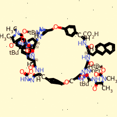 CCCN(C(=O)[C@@H](NC(=O)[C@H](C)N(C)C(=O)OC(C)(C)C)C(C)(C)C)[C@@H]1C(=O)N[C@@H](Cc2ccc3ccccc3c2)C(=O)N[C@H](C(=O)O)Cc2ccc(cc2)OCc2cn(nn2)[C@@H]2CCN(C(=O)[C@@H](NC(=O)[C@H](C)N(C)C(=O)OC(C)(C)C)C(C)(C)C)[C@@H]2C(=O)N[C@@H](Cc2ccc3ccccc3c2)C(=O)N[C@H](c2n[nH]c(=O)o2)Cc2ccc(cc2)OCc2cn1nn2